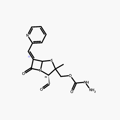 CC1(COC(=O)NN)SC2/C(=C\c3ccccn3)C(=O)N2[C@H]1C=O